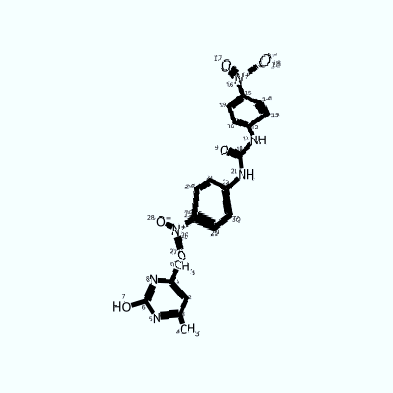 Cc1cc(C)nc(O)n1.O=C(Nc1ccc([N+](=O)[O-])cc1)Nc1ccc([N+](=O)[O-])cc1